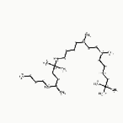 C[C@H](CCC(C)(C)NCCCCN(C)CCN(C)CCNCC(C)(C)C)NCCCN